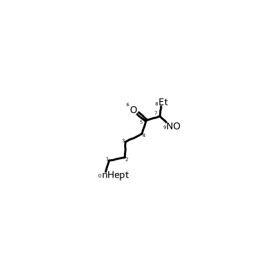 CCCCCCCCCCCC(=O)C(CC)N=O